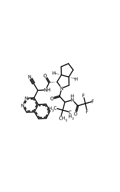 CC(C)(C)C(NC(=O)C(F)(F)F)C(=O)N1C[C@@H]2CCC[C@@H]2[C@H]1C(=O)NC(C#N)c1nncc2ccccc12